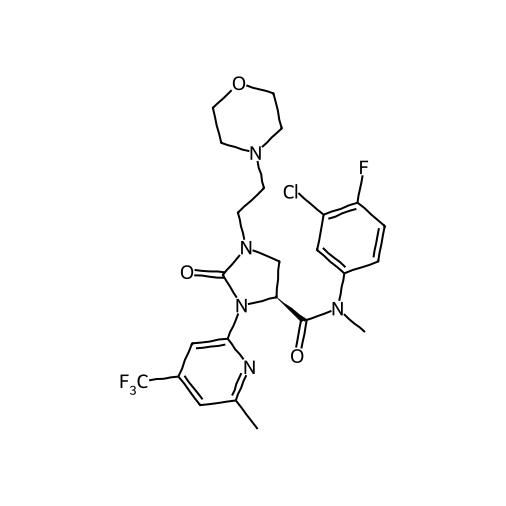 Cc1cc(C(F)(F)F)cc(N2C(=O)N(CCN3CCOCC3)C[C@H]2C(=O)N(C)c2ccc(F)c(Cl)c2)n1